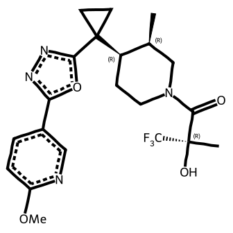 COc1ccc(-c2nnc(C3([C@@H]4CCN(C(=O)[C@@](C)(O)C(F)(F)F)C[C@@H]4C)CC3)o2)cn1